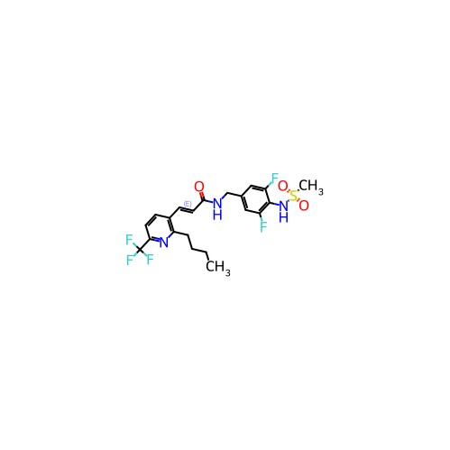 CCCCc1nc(C(F)(F)F)ccc1/C=C/C(=O)NCc1cc(F)c(NS(C)(=O)=O)c(F)c1